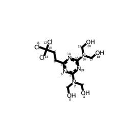 OCN(CO)c1nc(CCC(Cl)(Cl)Cl)nc(N(CO)CO)n1